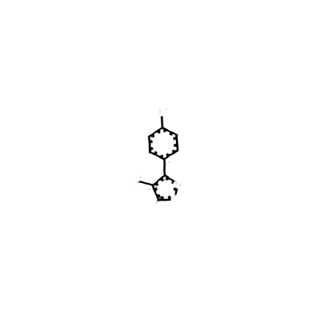 Fc1ccc(-c2nscc2Cl)cc1